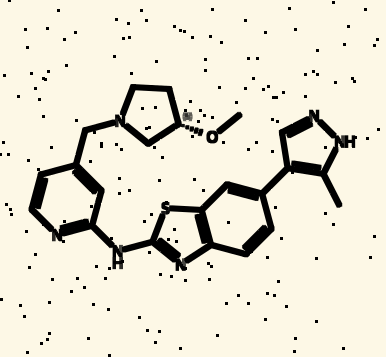 CO[C@H]1CCN(Cc2ccnc(Nc3nc4ccc(-c5cn[nH]c5C)cc4s3)c2)C1